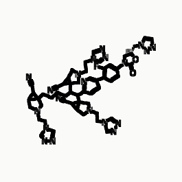 N#CC1C2CN(CCn3cnnc3)CC12CCCCC(C(c1ccc(-c2ccc(N3C[C@H](Cn4ccnn4)OC3=O)cc2F)cn1)C12CN(CCn3cnnc3)CC1C2C#N)C12CN(CCn3cnnc3)CC1C2C#N